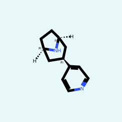 c1cc([C@H]2C[C@H]3CC[C@@H](C2)N3)ccn1